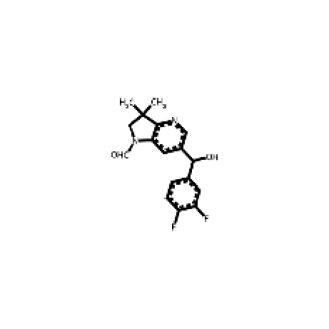 CC1(C)CN(C=O)c2cc(C(O)c3ccc(F)c(F)c3)cnc21